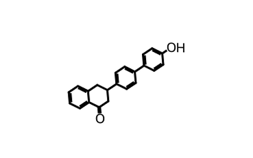 O=C1CC(c2ccc(-c3ccc(O)cc3)cc2)Cc2ccccc21